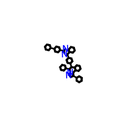 c1ccc(-c2ccc(-c3nc(-c4ccc(-c5c(-c6ccccc6)n6ncc(-c7ccccc7)c6c6ccccc56)cc4)c4ccccc4n3)cc2)cc1